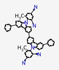 Cc1cc(C#N)cc(C#N)c1-n1c2ccc(-c3ccccc3)cc2c2cc(-c3ccc4c(c3)c3cc(-c5ccccc5)ccc3n4-c3c(C)cc(C#N)cc3C#N)ccc21